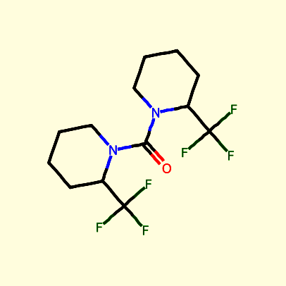 O=C(N1CCCCC1C(F)(F)F)N1CCCCC1C(F)(F)F